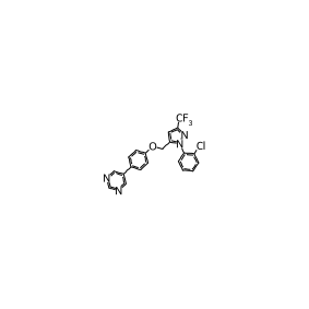 FC(F)(F)c1cc(COc2ccc(-c3cncnc3)cc2)n(-c2ccccc2Cl)n1